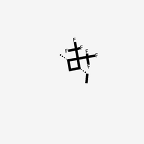 CC[C@@H]1C[C@H](C)C1(C(F)(F)F)C(F)(F)F